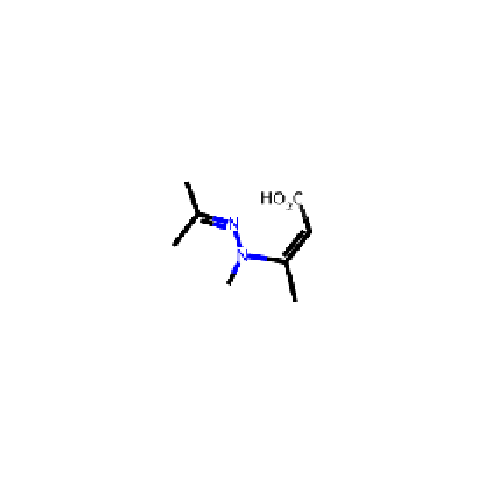 CC(=CC(=O)O)N(C)N=C(C)C